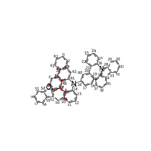 c1ccc(-c2cccc(-c3ccccc3N(c3cccc(-c4ccccc4-n4c5ccccc5c5ccccc54)c3)c3ccccc3-c3cccc4c3oc3ccccc34)c2)cc1